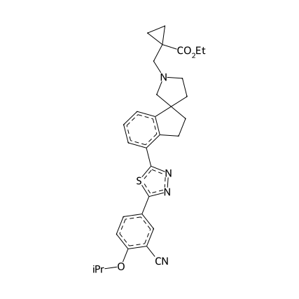 CCOC(=O)C1(CN2CCC3(CCc4c(-c5nnc(-c6ccc(OC(C)C)c(C#N)c6)s5)cccc43)C2)CC1